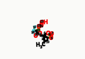 CC12CC3C(OS(=O)(=O)C3C1)C2COC(=O)C(F)(F)SOOO